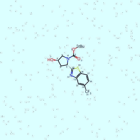 CC(C)(C)OC(=O)N1C[C@H](O)C[C@H]1c1nc2cc(C(F)(F)F)ccc2s1